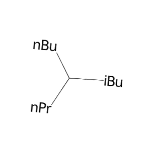 CCCCC(CCC)C(C)CC